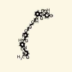 Cn1nc(-c2nc3cc(NC(=O)c4ccc(OCCOCCOCCNc5cccc6c5C(=O)N(C5CCC(=O)NC5=O)C6=O)cn4)ccc3o2)ccc1=O